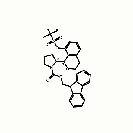 O=C(OCC1c2ccccc2-c2ccccc21)N1CCC[C@H]1[C@@H]1OCCc2cccc(OS(=O)(=O)C(F)(F)F)c21